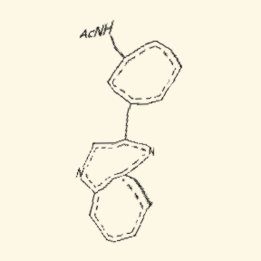 [CH2]C(=O)Nc1cccc(-c2cnc3ccccc3n2)c1